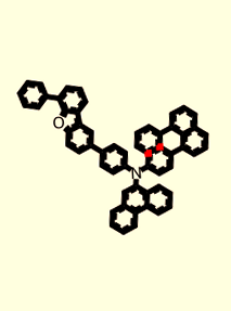 c1ccc(-c2cccc3c2oc2ccc(-c4ccc(N(c5ccc(-c6cccc7cccc(-c8ccccc8)c67)cc5)c5cc6ccccc6c6ccccc56)cc4)cc23)cc1